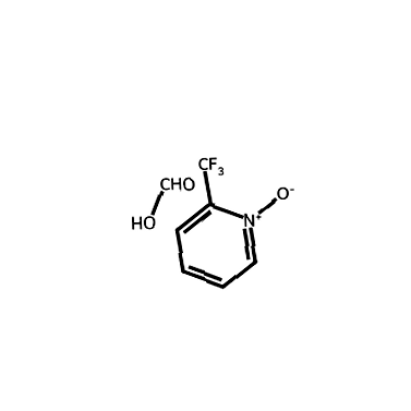 O=CO.[O-][n+]1ccccc1C(F)(F)F